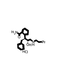 CC(C)CCNC[C@H](O)[C@@H](Cc1ccccc1)c1ccccc1C(N)=O.Cl